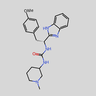 COc1ccc(C[C@@H](NC(=O)NC2CCCN(C)C2)c2nc3ccccc3[nH]2)cc1